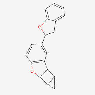 [c]1c(C2Cc3ccccc3O2)ccc2c1C1C3CC3C1O2